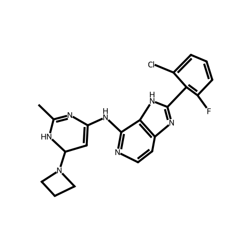 CC1=NC(Nc2nccc3nc(-c4c(F)cccc4Cl)[nH]c23)=CC(N2CCC2)N1